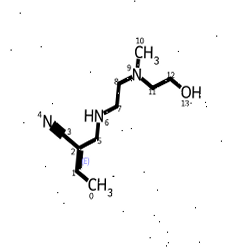 C/C=C(/C#N)CNCCN(C)CCO